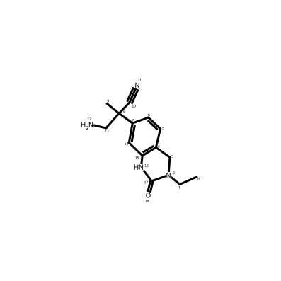 CCN1Cc2ccc(C(C)(C#N)CN)cc2NC1=O